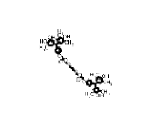 Cc1cc(C(c2ccc(OCC(=O)OCOCCCOCOC(=O)COc3ccc(C(c4cc(C)c(O)c(C)c4)c4cc(C)c(O)c(C)c4)cc3)cc2)c2cc(C)c(O)c(C)c2)cc(C)c1O